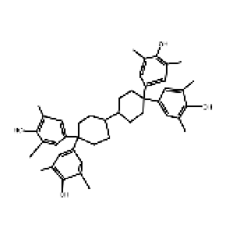 Cc1cc(C2(c3cc(C)c(O)c(C)c3)CCC(C3CCC(c4cc(C)c(O)c(C)c4)(c4cc(C)c(O)c(C)c4)CC3)CC2)cc(C)c1O